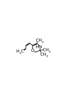 C=C/C=C\C1=C(C)NC(C)(C)CO1